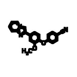 COc1cc(-c2cn3ccccc3n2)ccc1Oc1ccc(C#N)cc1